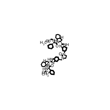 COO/C=N\[C@@H](C(=O)N1[C@H](c2nc3cc(N4CCN(Cc5ccc6[nH]c([C@@H]7C[C@@H]8CCCC[C@@H]8N7C(=O)[C@H](NC(=O)OC)c7ccccc7)nc6c5)C4=O)ccc3[nH]2)C[C@@H]2CCCC[C@@H]21)c1ccccc1